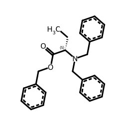 CC[C@@H](C(=O)OCc1ccccc1)N(Cc1ccccc1)Cc1ccccc1